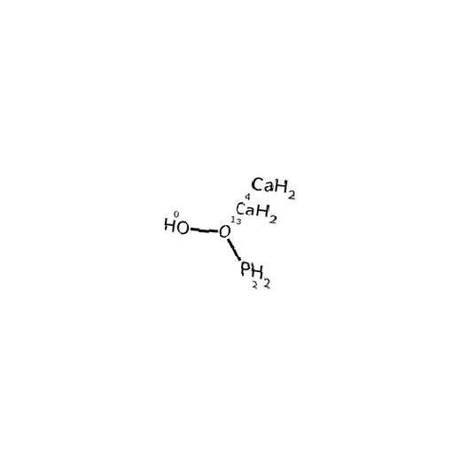 OOP.[CaH2].[CaH2]